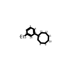 C[CH]c1cccc(C2CCCCCCC2)c1